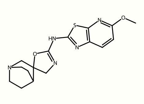 COc1ccc2nc(NC3=NCC4(CN5CCC4CC5)O3)sc2n1